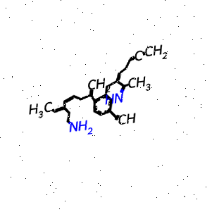 C#Cc1ccc(C(=C)C/C=C\C(=C/C)CCN)c(C/C(=C/CC=C=C)C(C)=N)c1